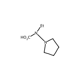 CCN(C(=O)O)N1CCCC1